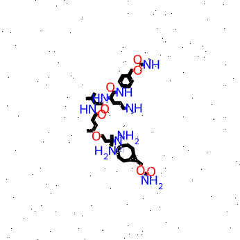 CNCCCC(NC(=O)C(NC(=O)CCC(C)OCCC(C)(C)N(N)/C1=C(\N)CCC2C(CC1)C2COC(N)=O)C(C)C)C(=O)Nc1ccc(COC(=O)NC)cc1